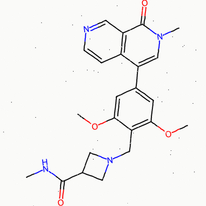 CNC(=O)C1CN(Cc2c(OC)cc(-c3cn(C)c(=O)c4cnccc34)cc2OC)C1